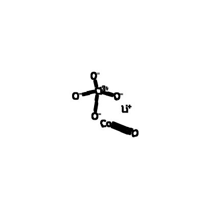 [Li+].[O-][Cl+3]([O-])([O-])[O-].[O]=[Co]